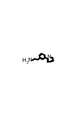 NCCCc1cccc(-c2ccccn2)c1